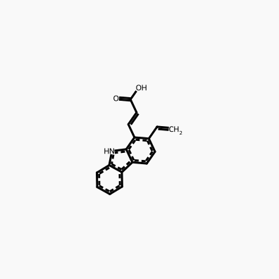 C=Cc1ccc2c([nH]c3ccccc32)c1C=CC(=O)O